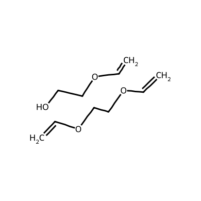 C=COCCO.C=COCCOC=C